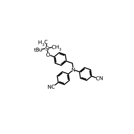 CC(C)(C)[Si](C)(C)Oc1ccc(CN(c2ccc(C#N)cc2)c2ccc(C#N)cc2)cc1